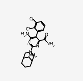 NC(=O)c1nc(N2CC3CCCC(C2)C3N)nc(N)c1-c1cccc(Cl)c1Cl